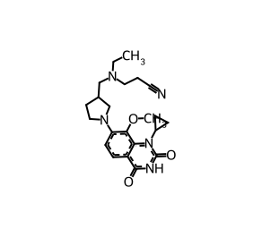 CCN(CCC#N)CC1CCN(c2ccc3c(=O)[nH]c(=O)n(C4CC4)c3c2OC)C1